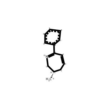 C[C@H]1CC=CC(c2ccccc2)=NC1